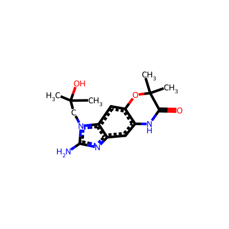 CC(C)(O)Cn1c(N)nc2cc3c(cc21)OC(C)(C)C(=O)N3